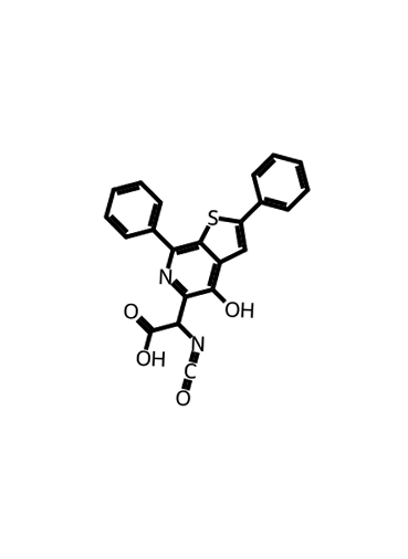 O=C=NC(C(=O)O)c1nc(-c2ccccc2)c2sc(-c3ccccc3)cc2c1O